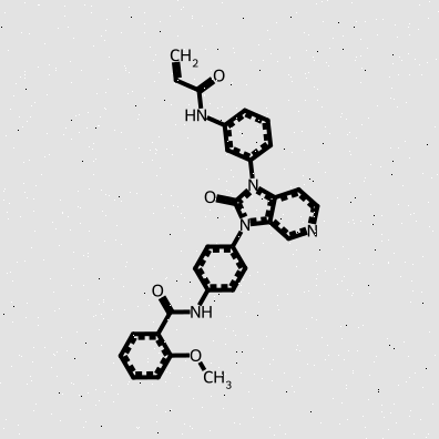 C=CC(=O)Nc1cccc(-n2c(=O)n(-c3ccc(NC(=O)c4ccccc4OC)cc3)c3cnccc32)c1